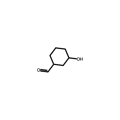 O=CC1CCCC(O)C1